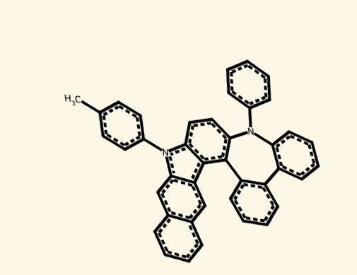 Cc1ccc(-n2c3cc4ccccc4cc3c3c4c(ccc32)N(c2ccccc2)c2ccccc2-c2ccccc2-4)cc1